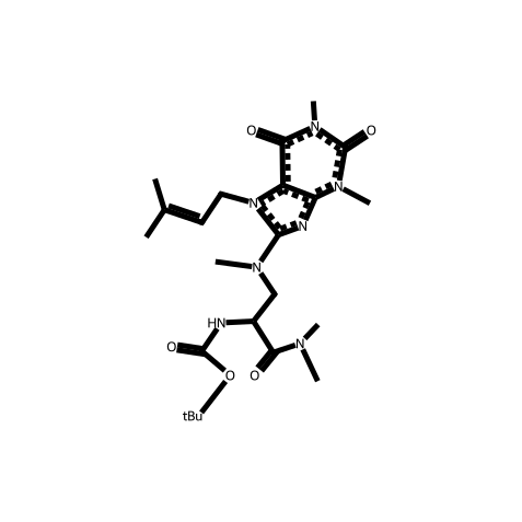 CC(C)=CCn1c(N(C)CC(NC(=O)OC(C)(C)C)C(=O)N(C)C)nc2c1c(=O)n(C)c(=O)n2C